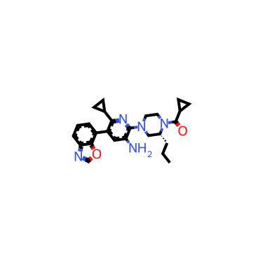 CCC[C@@H]1CN(c2nc(C3CC3)c(-c3cccc4ncoc34)cc2N)CCN1C(=O)C1CC1